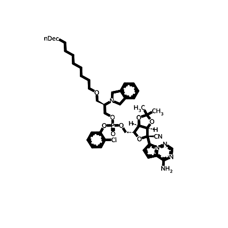 CCCCCCCCCCCCCCCCCCOC[C@H](COP(=O)(OC[C@H]1O[C@@](C#N)(c2ccc3c(N)ncnn23)[C@@H]2OC(C)(C)O[C@@H]21)Oc1ccccc1Cl)N1Cc2ccccc2C1